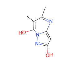 Cc1nc2cc(O)nn2c(O)c1C